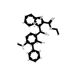 CCOC(=O)c1nc2ccccn2c1C(Cl)c1ccc(OC)c(-c2ccccc2)c1F